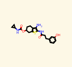 Nc1c(NC(=O)CCc2cccc(O)c2)sc2c1CCC(OC(=O)NC1CC1)C2